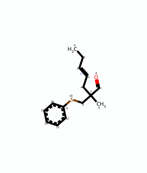 CC/C=C/CC(C)(C=O)CSc1ccccc1